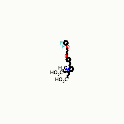 Cn1c(CCC(=O)O)c(CCCC(=O)O)c2cccc(/C=C/c3ccc(OCCCCOc4cccc(F)c4F)cc3)c21